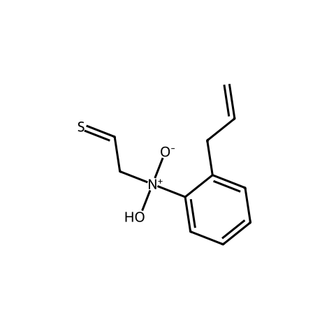 C=CCc1ccccc1[N+]([O-])(O)CC=S